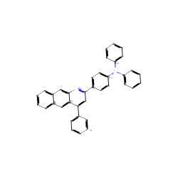 c1ccc(-c2cc(-c3ccc(N(c4ccccc4)c4ccccc4)cc3)nc3cc4ccccc4cc23)cc1